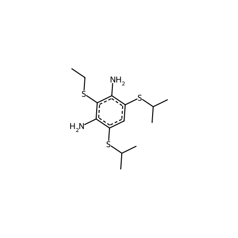 CCSc1c(N)c(SC(C)C)cc(SC(C)C)c1N